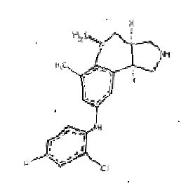 Cc1cc(Nc2ccc(Cl)cc2Cl)cc2c1N(C)C[C@H]1CNC[C@@H]21